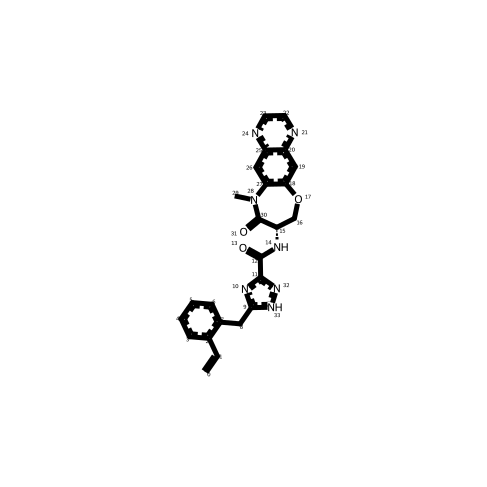 C=Cc1ccccc1Cc1nc(C(=O)N[C@H]2COc3cc4nccnc4cc3N(C)C2=O)n[nH]1